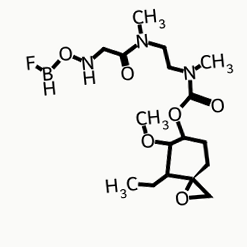 CCC1C(OC)C(OC(=O)N(C)CCN(C)C(=O)CNOBF)CC[C@]12CO2